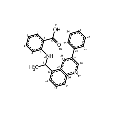 CC(Nc1ccccc1C(=O)O)c1cccc2ncc(-c3ccccc3)nc12